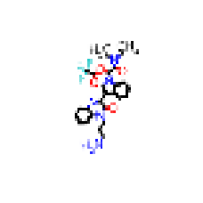 CCN(CC)C(=O)C(OC(=O)C(F)(F)F)n1cc(-c2nc3ccccc3n(CCCN)c2=O)c2ccccc21